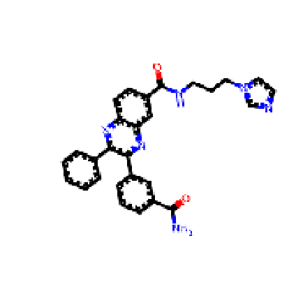 NC(=O)c1cccc(-c2nc3cc(C(=O)NCCCn4ccnc4)ccc3nc2-c2ccccc2)c1